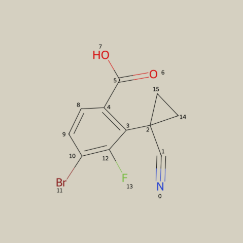 N#CC1(c2c(C(=O)O)ccc(Br)c2F)CC1